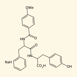 COc1ccc(C(=O)NC(Cc2ccccc2)C(=O)NC(Cc2ccc(O)cc2)C(=O)O)cc1.[NaH]